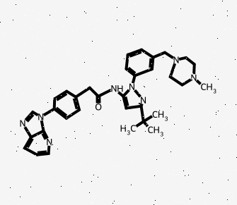 CN1CCN(Cc2cccc(-n3nc(C(C)(C)C)cc3NC(=O)Cc3ccc(-n4cnc5cccnc54)cc3)c2)CC1